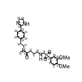 COc1ccc(S(=O)(=O)CNCCCC(=O)N(C)CCc2ccc(C3=NCCN3)cc2)cc1OC